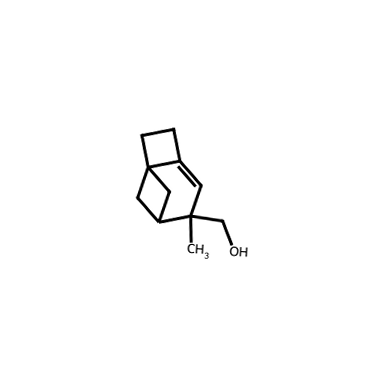 CC1(CO)C=C2CCC23CC1C3